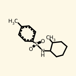 Cc1ccc(S(=O)(=O)NC2CCCCC2C)cc1